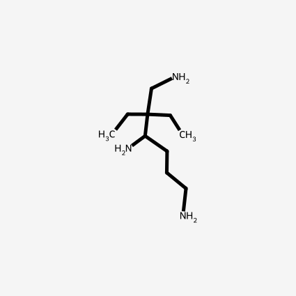 CCC(CC)(CN)C(N)CCCN